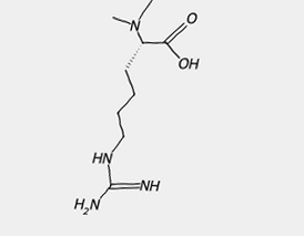 CN(C)[C@@H](CCCCNC(=N)N)C(=O)O